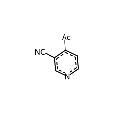 CC(=O)c1ccncc1C#N